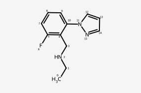 CCNCc1c(F)cccc1-n1cccn1